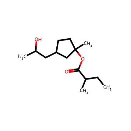 CCC(C)C(=O)OC1(C)CCC(CC(C)O)C1